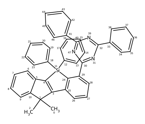 CC1(C)C2=C(c3ccccc31)[Si](c1ccccc1)(c1ccccc1)c1c2cccc1-c1nc(-c2ccccc2)nc(-c2ccccc2)n1